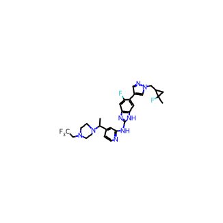 CC(c1ccnc(Nc2nc3cc(F)c(-c4cnn(CC5CC5(C)F)c4)cc3[nH]2)c1)N1CCN(CC(F)(F)F)CC1